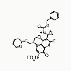 CCOC(=O)c1cn2c3c(c(C4(NC(=O)OCc5ccccc5)CC4)c(F)cc3c1=O)OCC2COC1CCCCO1